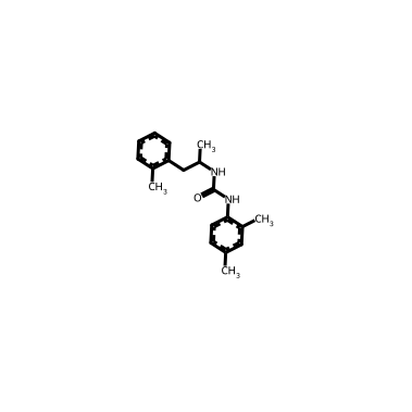 Cc1ccc(NC(=O)NC(C)Cc2ccccc2C)c(C)c1